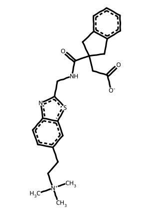 C[N+](C)(C)CCc1ccc2nc(CNC(=O)C3(CC(=O)[O-])Cc4ccccc4C3)sc2c1